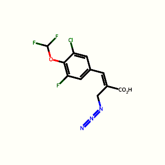 [N-]=[N+]=NCC(=Cc1cc(F)c(OC(F)F)c(Cl)c1)C(=O)O